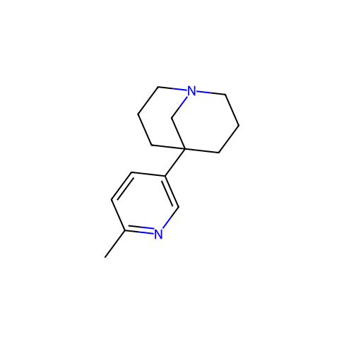 Cc1ccc(C23CCCN(CCC2)C3)cn1